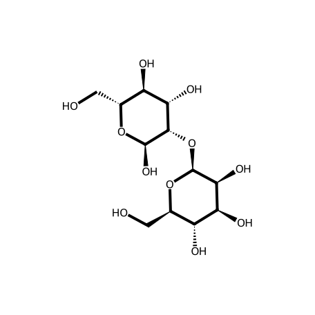 OC[C@H]1O[C@@H](O[C@H]2[C@@H](O)[C@H](O)[C@@H](CO)O[C@@H]2O)[C@@H](O)[C@@H](O)[C@@H]1O